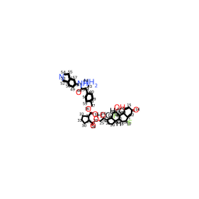 C[C@]12C[C@H](O)[C@@]3(F)[C@@H](C[C@H](F)C4=CC(=O)C=C[C@@]43C)C1CC[C@@H]2C(=O)COC(=O)C1CCCC1C(=O)OCc1ccc([C@@H](CN)C(=O)Nc2ccc3cnccc3c2)cc1